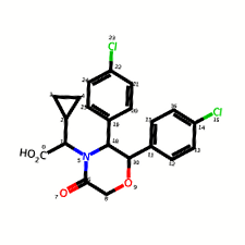 O=C(O)C(C1CC1)N1C(=O)COC(c2ccc(Cl)cc2)C1c1ccc(Cl)cc1